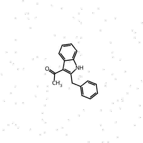 CC(=O)c1c(Cc2ccccc2)[nH]c2ccccc12